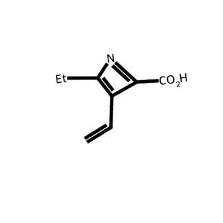 C=CC1=C(CC)N=C1C(=O)O